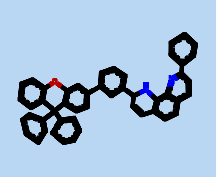 C1=CC(c2cccc(-c3ccc4c(c3)Oc3ccccc3C4(c3ccccc3)c3ccccc3)c2)Nc2c1ccc1ccc(-c3ccccc3)nc21